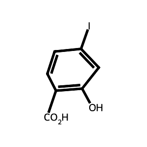 O=C(O)c1ccc(I)cc1O